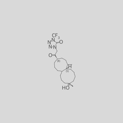 CC1CC[C@H](C(=O)Cn2nnn(C(F)(F)F)c2=O)CCCC2CCC[C@@](C)(O)CCCC[C@@H]12